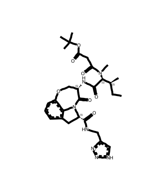 CC[C@H](C)[C@@H](C(=O)N[C@H]1COc2cccc3c2N(C1=O)[C@H](C(=O)NCc1c[nH]nn1)C3)N(C)C(=O)CC(=O)OC(C)(C)C